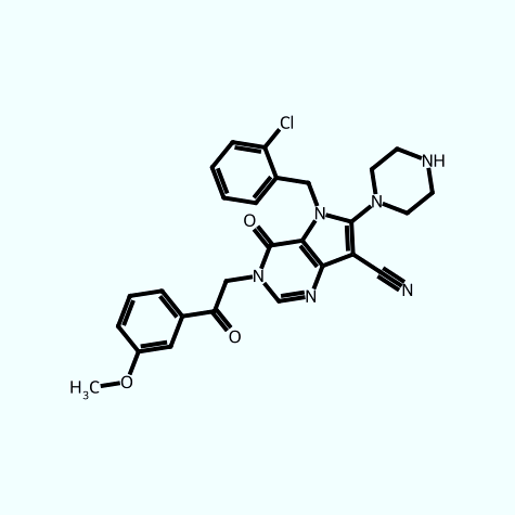 COc1cccc(C(=O)Cn2cnc3c(C#N)c(N4CCNCC4)n(Cc4ccccc4Cl)c3c2=O)c1